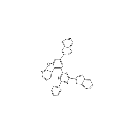 c1ccc(-c2nc(-c3ccc4ccccc4c3)nc(-c3cc(-c4ccc5ccccc5c4)cc4oc5ncccc5c34)n2)cc1